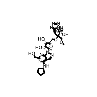 COCC(Cc1nnn[nH]1)(OC[C@H]1O[C@@H](n2ncc3c(NC4CCCC4)nc(CO)nc32)[C@H](O)[C@@H]1O)P(=O)(O)O